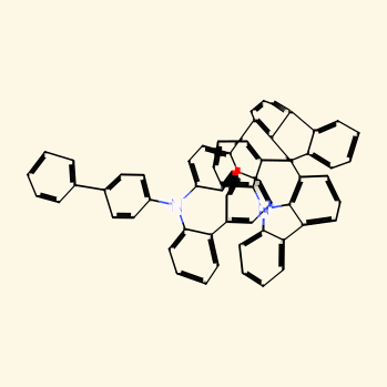 c1ccc(-c2ccc(N(c3ccc(-c4cccc5c4C4(c6ccccc6-5)c5ccccc5-n5c6ccccc6c6cccc4c65)cc3)c3ccccc3-c3ccccc3)cc2)cc1